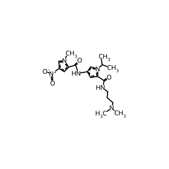 CC(C)n1cc(NC(=O)c2cc([N+](=O)[O-])cn2C)cc1C(=O)NCCCN(C)C